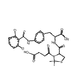 CC1(C)SCC(C(=O)NC(Cc2ccc(NC(=O)c3c(Cl)cccc3Cl)cc2)C(=O)O)N1C(=O)CCC(=O)O